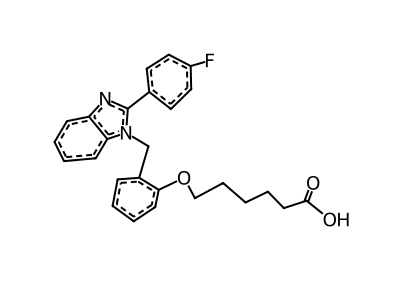 O=C(O)CCCCCOc1ccccc1Cn1c(-c2ccc(F)cc2)nc2ccccc21